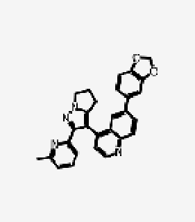 Cc1cccc(-c2nn3c(c2-c2ccnc4ccc(-c5ccc6c(c5)OCO6)cc24)CCC3)n1